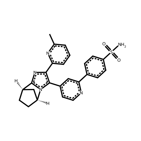 Cc1cccc(-c2nc3n(c2-c2ccnc(-c4ccc(S(N)(=O)=O)cc4)c2)[C@H]2CC[C@@H]3C2)n1